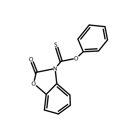 O=c1oc2ccccc2n1C(=S)Oc1ccccc1